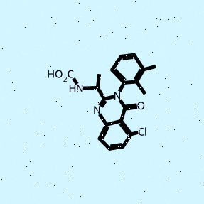 Cc1cccc(-n2c(C(C)NC(=O)O)nc3cccc(Cl)c3c2=O)c1C